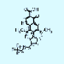 CN(F)c1cc2c(=O)c(C(=O)O)c[nH]c2c(N(C)F)c1N1CCC(CNCC(F)(F)F)C1